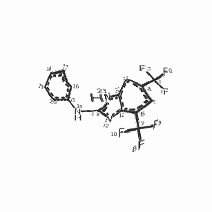 FC(F)(F)c1cc(C(F)(F)F)c2nc(Nc3ccccc3)[nH]c2c1